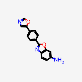 Nc1ccc2nc(-c3ccc(-c4cnco4)cc3)oc2c1